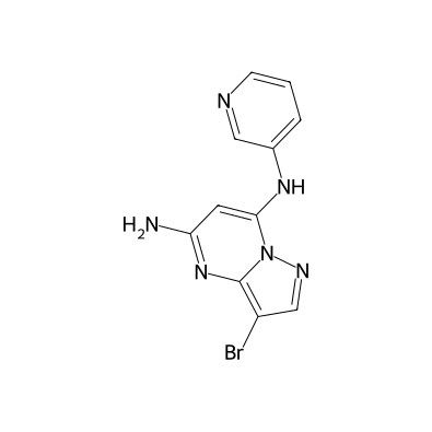 Nc1cc(Nc2cccnc2)n2ncc(Br)c2n1